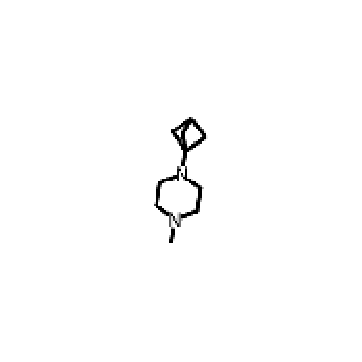 CN1CCN(C23CC(C2)C3)CC1